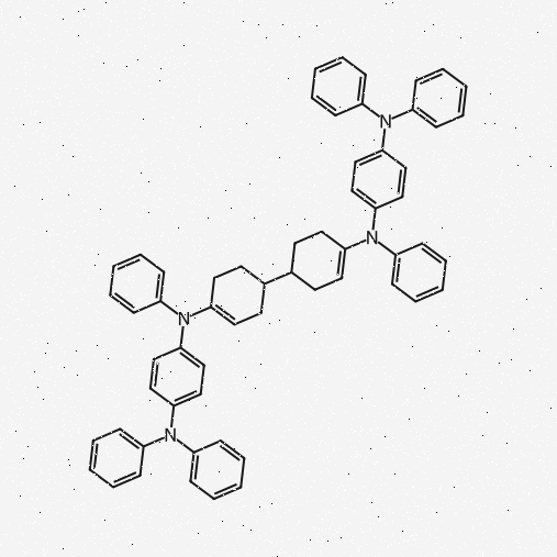 C1=C(N(c2ccccc2)c2ccc(N(c3ccccc3)c3ccccc3)cc2)CCC(C2CC=C(N(c3ccccc3)c3ccc(N(c4ccccc4)c4ccccc4)cc3)CC2)C1